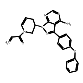 C=CC(=O)N1C=CC[C@@H](n2nc(-c3ccc(Oc4ccccc4)cc3)c3c(N)ncnc32)C1